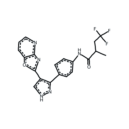 CC(CC(F)(F)F)C(=O)Nc1ccc(-c2n[nH]cc2-c2nc3ncccc3o2)cc1